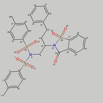 Cc1ccc(S(=O)(=O)N(CC(CCc2ccccc2)N2C(=O)c3ccccc3S2(=O)=O)S(=O)(=O)c2ccc(C)cc2)cc1